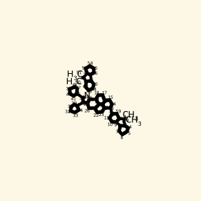 CC1(C)c2ccccc2-c2ccc(-c3ccc4ccc5c6c(ccc3c46)cc3c(-c4ccccc4)c(-c4ccccc4)n(-c4ccc6c(c4)C(C)(C)c4ccccc4-6)c35)cc21